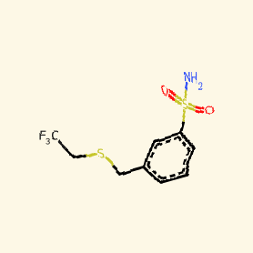 NS(=O)(=O)c1cccc(CSCC(F)(F)F)c1